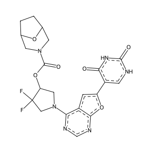 O=C(OC1CN(c2ncnc3oc(-c4c[nH]c(=O)[nH]c4=O)cc23)CC1(F)F)N1CC2CCC(C1)O2